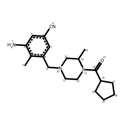 Cc1c(N)cc(C#N)cc1CN1CCN(C(=O)C2CCCC2)C(C)C1